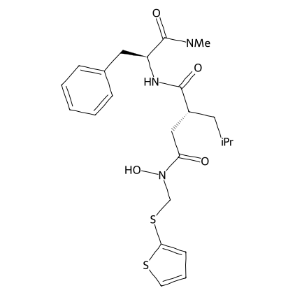 CNC(=O)[C@H](Cc1ccccc1)NC(=O)[C@@H](CC(=O)N(O)CSc1cccs1)CC(C)C